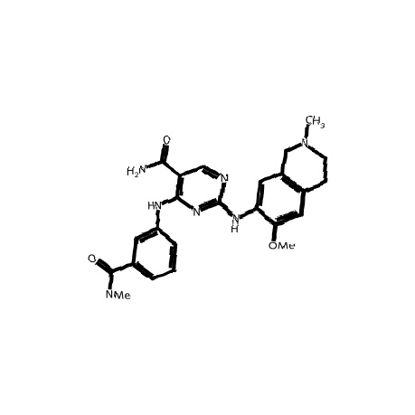 CNC(=O)c1cccc(Nc2nc(Nc3cc4c(cc3OC)CCN(C)C4)ncc2C(N)=O)c1